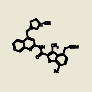 COCc1ccc(C(C)=O)c2sc(C(=O)Nc3cc(CN4CC[C@H](O)C4)c4ccccc4n3)c(C)c12